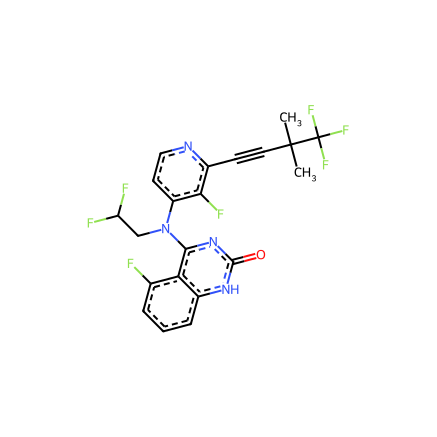 CC(C)(C#Cc1nccc(N(CC(F)F)c2nc(=O)[nH]c3cccc(F)c23)c1F)C(F)(F)F